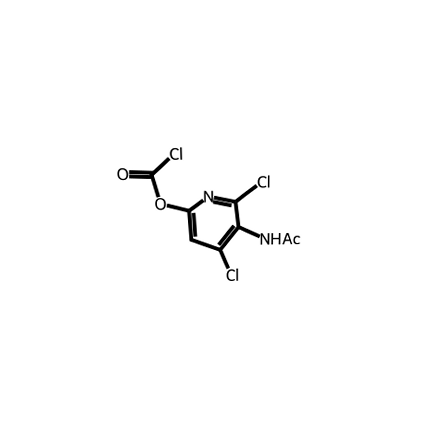 CC(=O)Nc1c(Cl)cc(OC(=O)Cl)nc1Cl